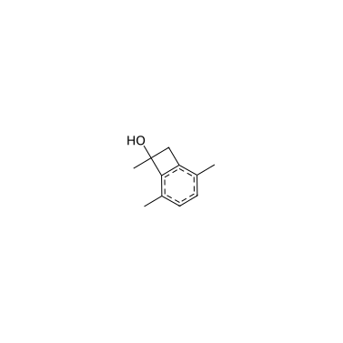 Cc1ccc(C)c2c1CC2(C)O